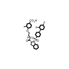 Cc1cc(C(=O)O)ccc1OCCNC(=O)[C@@H]1Cc2ccccc2N1S(=O)(=O)c1ccc(-c2ccc(F)cc2F)cc1